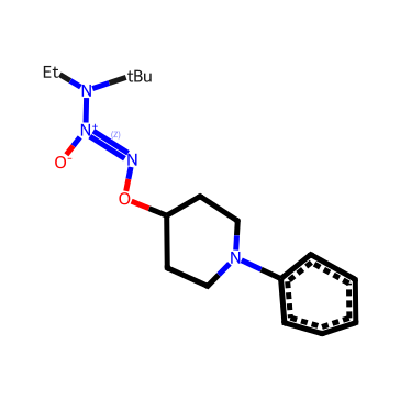 CCN(/[N+]([O-])=N/OC1CCN(c2ccccc2)CC1)C(C)(C)C